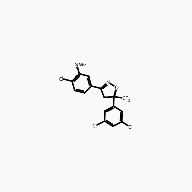 CNc1cc(C2=NOC(c3cc(Cl)cc(Cl)c3)(C(F)(F)F)C2)ccc1Cl